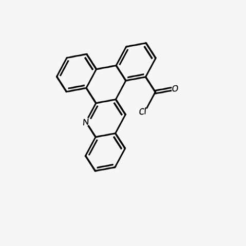 O=C(Cl)c1cccc2c3ccccc3c3nc4ccccc4cc3c12